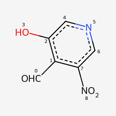 O=Cc1c(O)cncc1[N+](=O)[O-]